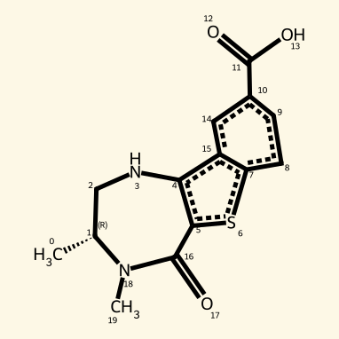 C[C@@H]1CNc2c(sc3ccc(C(=O)O)cc23)C(=O)N1C